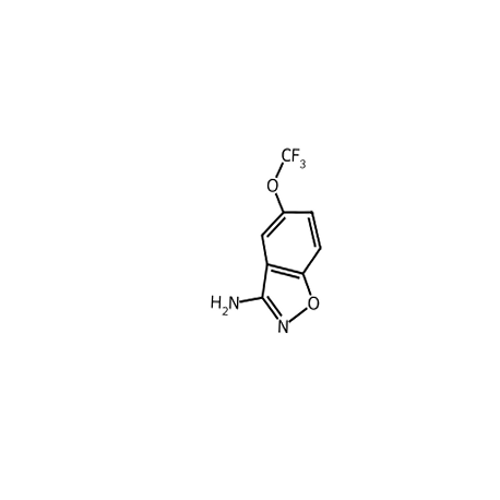 Nc1noc2ccc(OC(F)(F)F)cc12